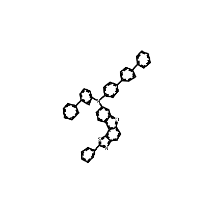 c1ccc(-c2ccc(-c3ccc(N(c4cccc(-c5ccccc5)c4)c4ccc5c(c4)oc4ccc6nc(-c7ccccc7)sc6c45)cc3)cc2)cc1